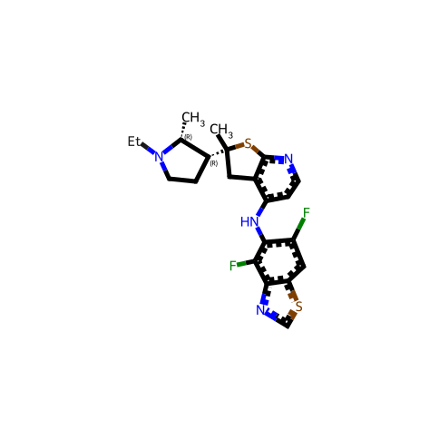 CCN1CC[C@@H](C2(C)Cc3c(Nc4c(F)cc5scnc5c4F)ccnc3S2)[C@H]1C